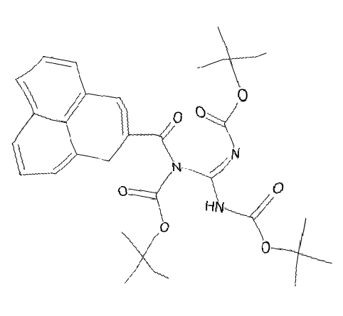 CC(C)(C)OC(=O)N=C(NC(=O)OC(C)(C)C)N(C(=O)OC(C)(C)C)C(=O)C1=Cc2cccc3cccc(c23)C1